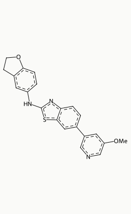 COc1cncc(-c2ccc3nc(Nc4ccc5c(c4)CCO5)sc3c2)c1